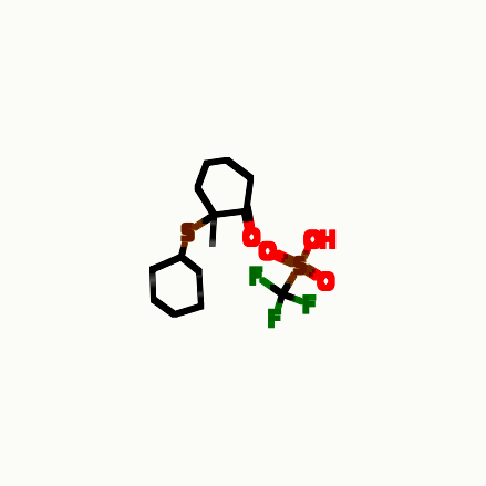 CC1(SC2CCCCC2)CCCCC1=O.O=S(=O)(O)C(F)(F)F